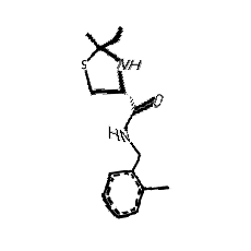 Cc1ccccc1CNC(=O)[C@@H]1CSC(C)(C)N1